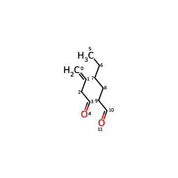 C=CCC=O.CCCCCC=O